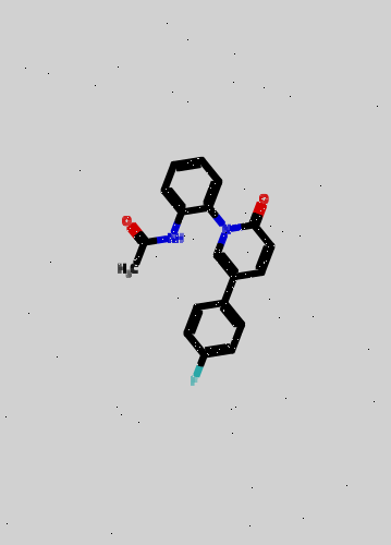 CC(=O)Nc1ccccc1-n1cc(-c2ccc(F)cc2)ccc1=O